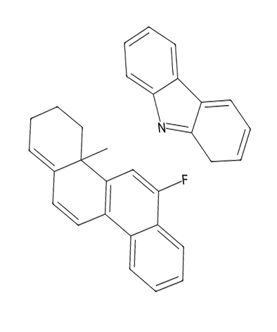 C1=CCC2=Nc3ccccc3C2=C1.CC12CCCC=C1C=Cc1c2cc(F)c2ccccc12